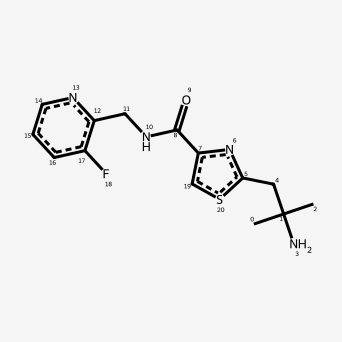 CC(C)(N)Cc1nc(C(=O)NCc2ncccc2F)cs1